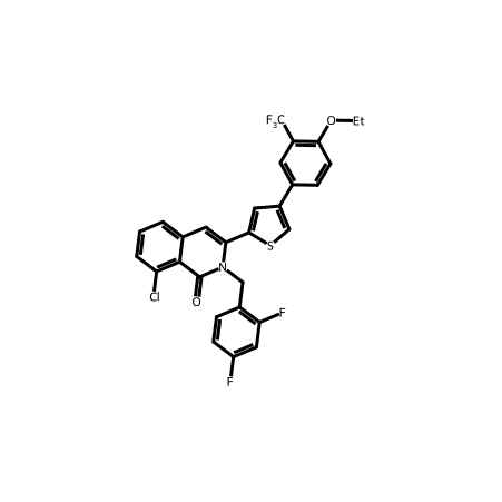 CCOc1ccc(-c2csc(-c3cc4cccc(Cl)c4c(=O)n3Cc3ccc(F)cc3F)c2)cc1C(F)(F)F